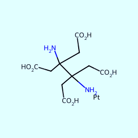 NC(CC(=O)O)(CC(=O)O)C(N)(CC(=O)O)CC(=O)O.[Pt]